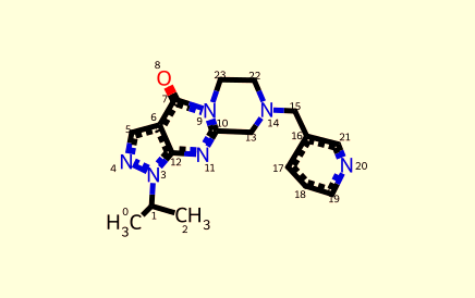 CC(C)n1ncc2c(=O)n3c(nc21)CN(Cc1cccnc1)CC3